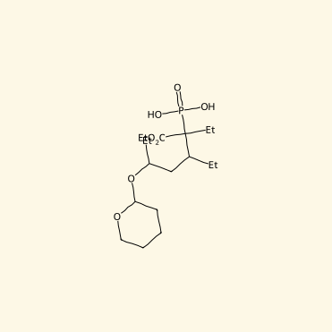 CCOC(=O)C(CC)(C(CC)CC(CC)OC1CCCCO1)P(=O)(O)O